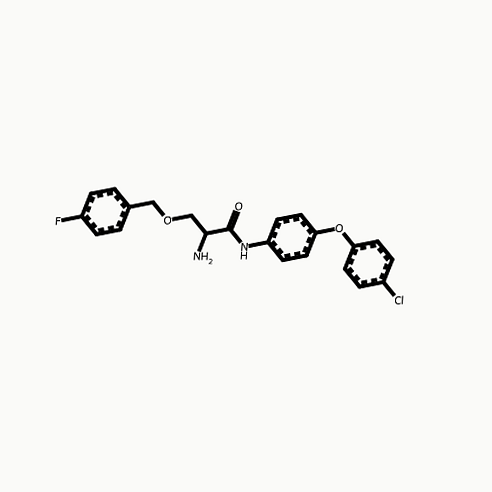 NC(COCc1ccc(F)cc1)C(=O)Nc1ccc(Oc2ccc(Cl)cc2)cc1